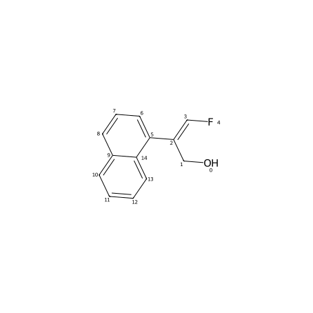 OC/C(=C\F)c1cccc2ccccc12